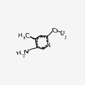 Cc1cc(OC(F)(F)F)ncc1N